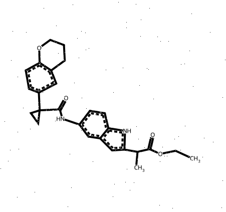 CCOC(=O)C(C)c1cc2cc(NC(=O)C3(c4ccc5c(c4)CCCO5)CC3)ccc2[nH]1